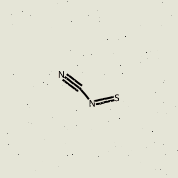 N#CN=S